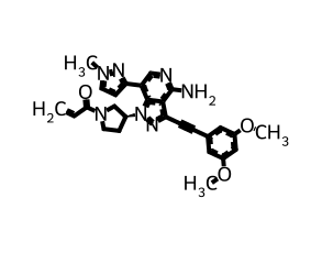 C=CC(=O)N1CC[C@H](n2nc(C#Cc3cc(OC)cc(OC)c3)c3c(N)ncc(-c4ccn(C)n4)c32)C1